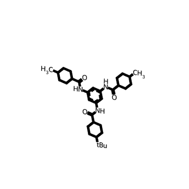 CC1CCC(C(=O)Nc2cc(NC(=O)C3CCC(C)CC3)cc(NC(=O)C3CCC(C(C)(C)C)CC3)c2)CC1